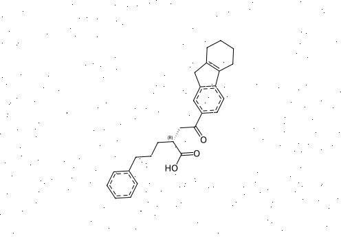 O=C(C[C@@H](CCCc1ccccc1)C(=O)O)c1ccc2c(c1)CC1=C2CCCC1